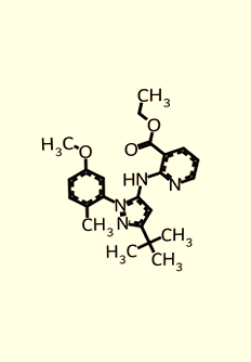 CCOC(=O)c1cccnc1Nc1cc(C(C)(C)C)nn1-c1cc(OC)ccc1C